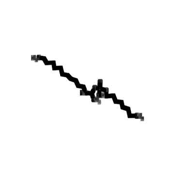 CCCCCCCCCCCCNC(C)OP(=O)(O)OCCCCCCCC